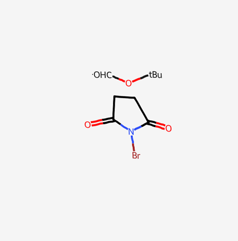 CC(C)(C)O[C]=O.O=C1CCC(=O)N1Br